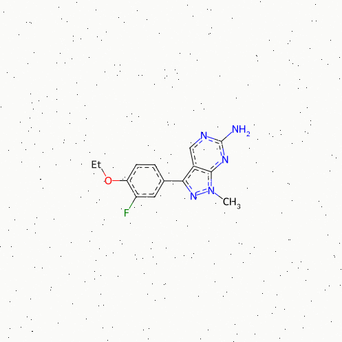 CCOc1ccc(-c2nn(C)c3nc(N)ncc23)cc1F